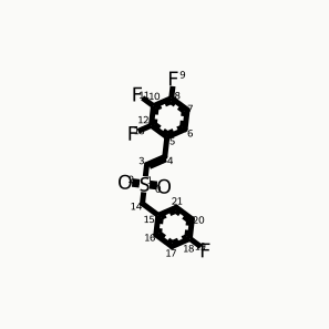 O=S(=O)(/C=C/c1ccc(F)c(F)c1F)Cc1ccc(F)cc1